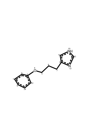 [c]1ccc(OCCCc2c[nH]cn2)cc1